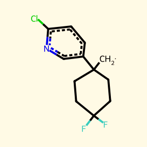 [CH2]C1(c2ccc(Cl)nc2)CCC(F)(F)CC1